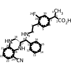 CC(C(=O)O)c1ccc(CCN[C@H](c2ccccc2)[C@H]2CNc3cccc(C#N)c3N2)c(F)c1